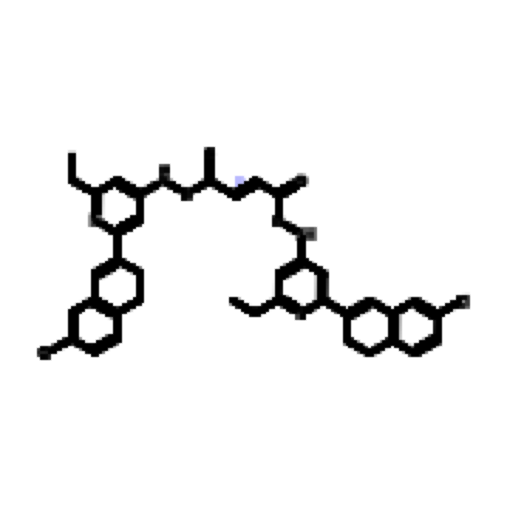 CCc1cc(NOC(=O)/C=C/C(=O)ONc2cc(CC)nc(C3=Cc4cc(Cl)ccc4CC3)c2)cc(C2=Cc3cc(Cl)ccc3CC2)n1